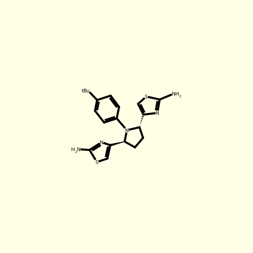 CC(C)(C)c1ccc(N2[C@H](c3csc(N)n3)CC[C@H]2c2csc(N)n2)cc1